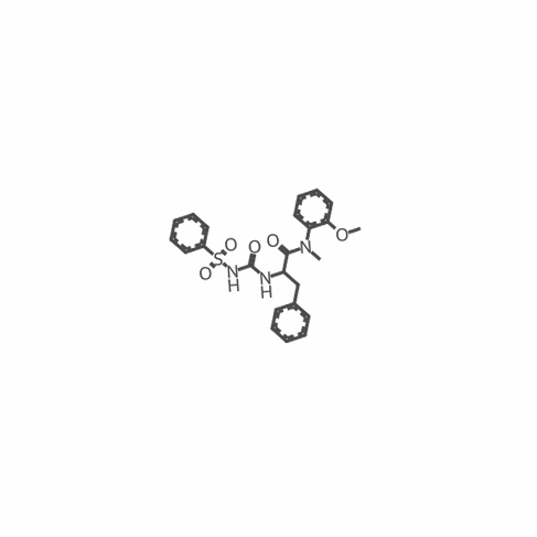 COc1ccccc1N(C)C(=O)C(Cc1ccccc1)NC(=O)NS(=O)(=O)c1ccccc1